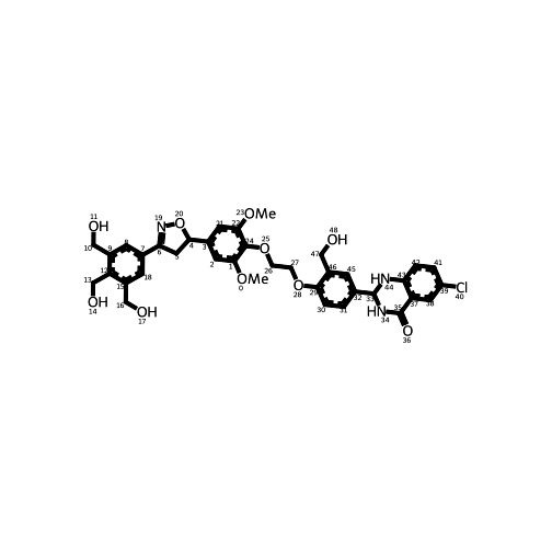 COc1cc(C2CC(c3cc(CO)c(CO)c(CO)c3)=NO2)cc(OC)c1OCCOc1ccc(C2NC(=O)c3cc(Cl)ccc3N2)cc1CO